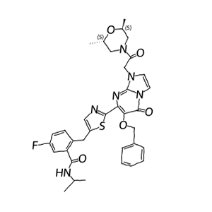 CC(C)NC(=O)c1cc(F)ccc1Cc1cnc(-c2nc3n(CC(=O)N4C[C@H](C)O[C@@H](C)C4)ccn3c(=O)c2OCc2ccccc2)s1